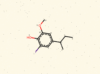 CCC(C)c1cc(I)c(O)c(OC)c1